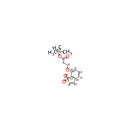 CC(C)(C)OC(=O)CCOc1cccc2c1S(=O)(=O)C=C2